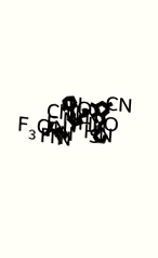 Cc1cc(C#N)cc(C(=O)NC2=NCCS2)c1NC(=O)c1cc(Cn2nnc(C(F)(F)C(F)(F)F)n2)nn1-c1ncccc1Cl